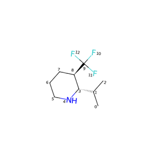 CC(C)[C@@H]1NCCC[C@H]1C(F)(F)F